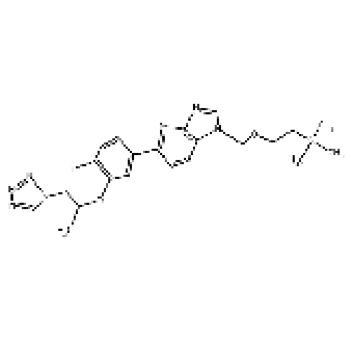 CC(Cn1cnnn1)Oc1cc(-c2ccc3c(ncn3COCC[Si](C)(C)C)n2)ccc1F